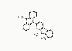 Bc1c2ccccc2c(-c2ccc3c(c2)C(C)(C)c2ccccc2-3)c2ccccc12